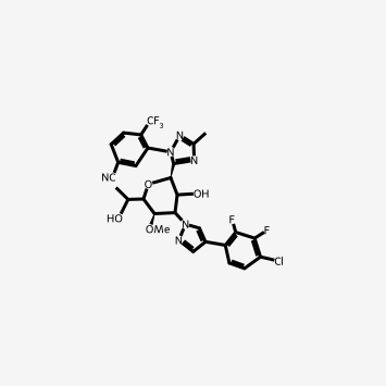 CO[C@H]1C(C(C)O)O[C@@H](c2nc(C)nn2-c2cc(C#N)ccc2C(F)(F)F)C(O)C1n1cc(-c2ccc(Cl)c(F)c2F)cn1